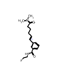 CN(C)C(=O)CCC/C=C/c1cccc(C(=O)NCCF)c1